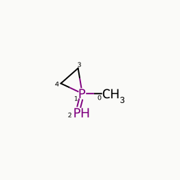 CP1(=P)CC1